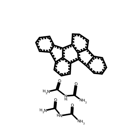 NC(=O)NC(N)=O.NC(=O)NC(N)=O.c1ccc2c(c1)c1cccc3c4c5ccccc5c5cccc(c2c13)c54